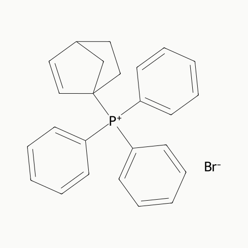 C1=CC2([P+](c3ccccc3)(c3ccccc3)c3ccccc3)CCC1C2.[Br-]